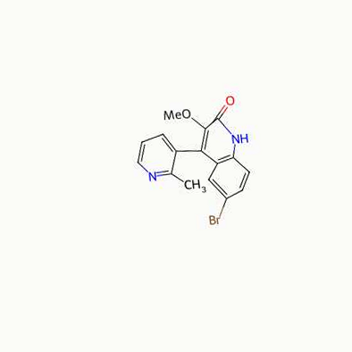 COc1c(-c2cccnc2C)c2cc(Br)ccc2[nH]c1=O